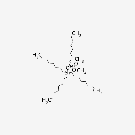 CCCCCCC[CH2][Sn]([CH2]CCCCCCC)([CH2]CCCCCCC)[O][Sn]([CH2]CCCCCCC)([O]C)[O]C